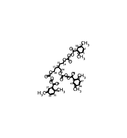 Cc1ccc(C)c(C(=O)OOC(=O)OCCC(CCOC(=O)OOC(=O)c2cc(C)ccc2C)COC(=O)OOC(=O)c2cc(C)ccc2C)c1